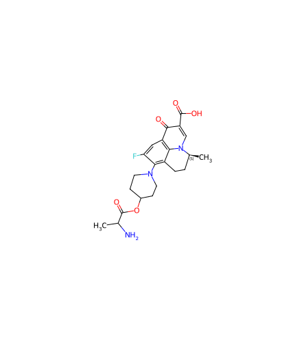 CC(N)C(=O)OC1CCN(c2c(F)cc3c(=O)c(C(=O)O)cn4c3c2CC[C@@H]4C)CC1